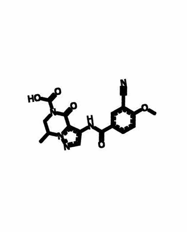 COc1ccc(C(=O)Nc2cnn3c2C(=O)N(C(=O)O)CC3C)cc1C#N